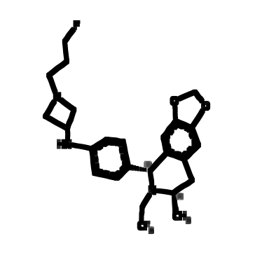 C[C@@H]1Cc2cc3c(cc2[C@@H](c2ccc(NC4CN(CCCF)C4)cc2)N1CC(F)(F)F)OCO3